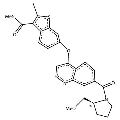 CNC(=O)c1c(C)sc2cc(Oc3ccnc4cc(C(=O)N5CCC[C@H]5COC)ccc34)ccc12